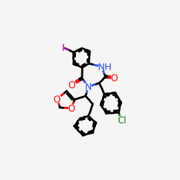 O=C1Nc2ccc(I)cc2C(=O)N(C(Cc2ccccc2)C2=COCO2)C1c1ccc(Cl)cc1